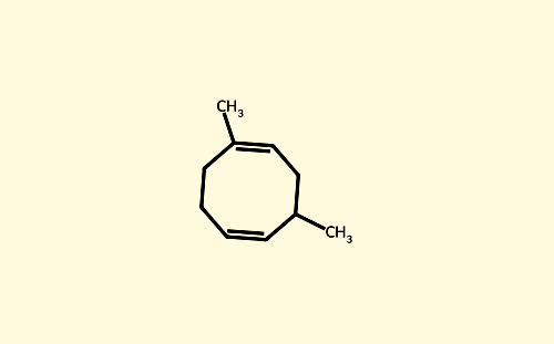 CC1=CCC(C)C=CCC1